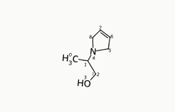 CC([C]O)N1CC=CC1